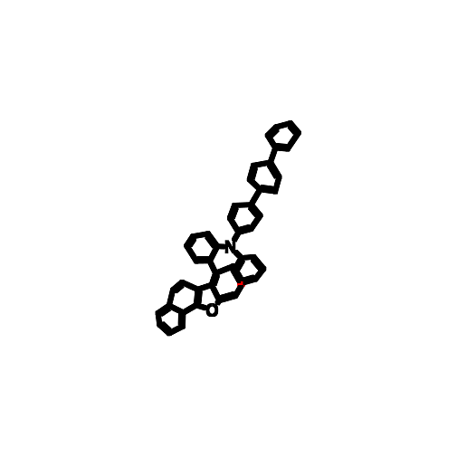 c1ccc(-c2ccc(-c3ccc(N(c4ccccc4)c4ccccc4-c4cccc5oc6c7ccccc7ccc6c45)cc3)cc2)cc1